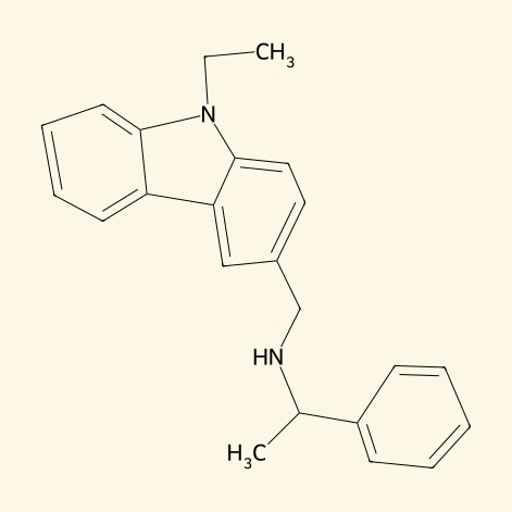 CCn1c2ccccc2c2cc(CNC(C)c3ccccc3)ccc21